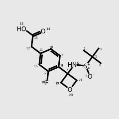 CC(C)(C)[S+]([O-])NC1(c2ccc(CC(=O)O)cc2F)COC1